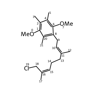 COc1c(C)c(C)c(OC)c(C/C=C(\C)CCC=C(C)CCl)c1C